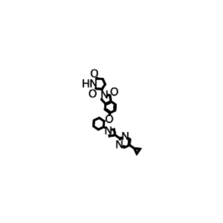 O=C1CCC(N2Cc3cc(O[C@H]4CCCC[C@@H]4N4CC(c5ncc(C6CC6)cn5)C4)ccc3C2=O)C(=O)N1